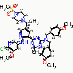 COc1ccc(CN(Cc2ccc(OC)cc2)c2nc(C)nc(-c3cc([C@@H](C)N4CCN(S(C)(=O)=O)CC4)cnc3Nc3cnc(Cl)c(OC)c3)n2)cc1